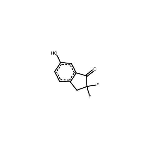 O=C1c2cc(O)ccc2CC1(F)F